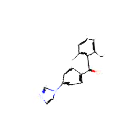 Cc1cccc(C)c1C(=O)c1ccc(-n2ccnc2)cc1